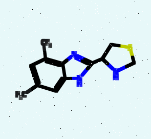 FC(F)(F)c1cc(C(F)(F)F)c2nc(C3CSCN3)[nH]c2c1